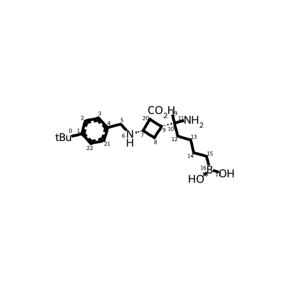 CC(C)(C)c1ccc(CN[C@H]2C[C@@H](C(N)(CCCCB(O)O)C(=O)O)C2)cc1